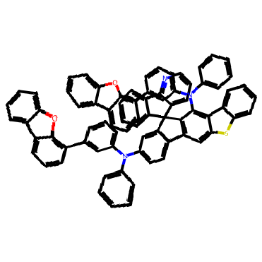 c1ccc(N(c2cccc(-c3cccc4c3oc3ccccc34)c2)c2ccc3c(c2)C2(c4ccccc4-c4ncccc42)c2c-3cc3sc4ccccc4c3c2N(c2ccccc2)c2cccc(-c3cccc4c3oc3ccccc34)c2)cc1